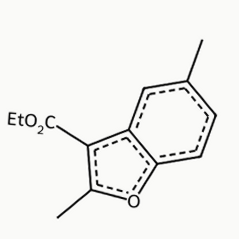 CCOC(=O)c1c(C)oc2ccc(C)cc12